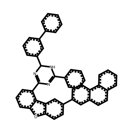 c1ccc(C2=NC(c3cccc4oc5ccc(-c6ccc7c(ccc8ccccc87)c6)cc5c34)=NC(c3cccc(-c4ccccc4)c3)N2)cc1